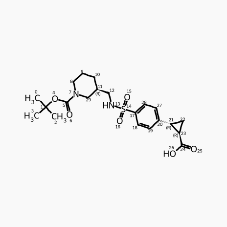 CC(C)(C)OC(=O)N1CCC[C@@H](CNS(=O)(=O)c2ccc([C@@H]3C[C@H]3C(=O)O)cc2)C1